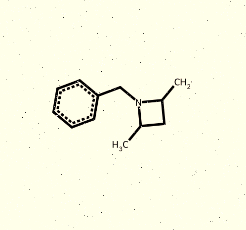 [CH2]C1CC(C)N1Cc1ccccc1